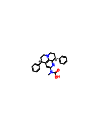 CN(C(=O)O)c1cc2c3c(n1)[C@@H](c1ccccc1)CCN3CC[C@@H]2c1ccccc1